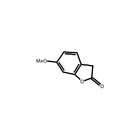 COc1ccc2c(c1)OC(=O)C2